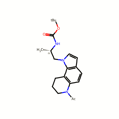 CC(=O)N1CCCc2c1ccc1ccn(C[C@H](C)NC(=O)OC(C)(C)C)c21